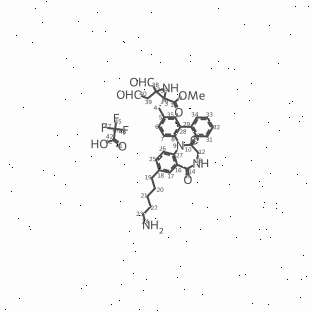 COC(=O)[C@]1(Cc2ccc(N3C(=O)CNC(=O)c4cc(CCCCCN)ccc43)c(-c3ccccc3)c2)NC1(C=O)CC=O.O=C(O)C(F)(F)F